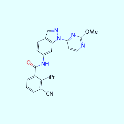 COc1nccc(-n2ncc3ccc(NC(=O)c4cccc(C#N)c4C(C)C)cc32)n1